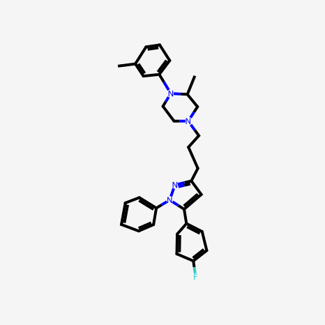 Cc1cccc(N2CCN(CCCc3cc(-c4ccc(F)cc4)n(-c4ccccc4)n3)CC2C)c1